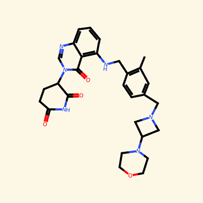 Cc1cc(CN2CC(N3CCOCC3)C2)ccc1CNc1cccc2ncn(C3CCC(=O)NC3=O)c(=O)c12